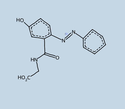 O=C(O)CNC(=O)c1cc(O)ccc1/N=N/c1ccccc1